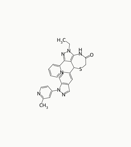 CCn1nc(-c2ccccn2)c2c1NC(=O)CSC2c1ccc2c(cnn2-c2ccnc(C)c2)c1